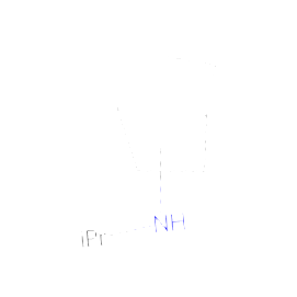 CC(C)NC1C2CCC1CC2